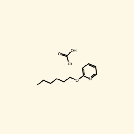 CCCCCCOc1ccccn1.O=[C](O)[Zn]